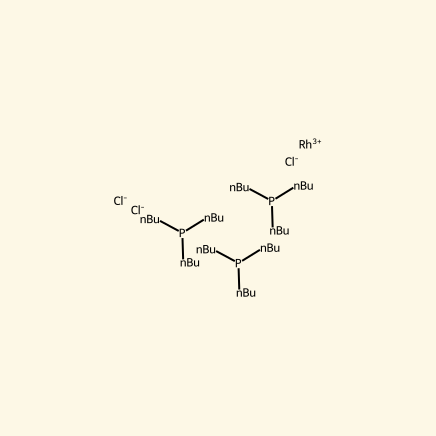 CCCCP(CCCC)CCCC.CCCCP(CCCC)CCCC.CCCCP(CCCC)CCCC.[Cl-].[Cl-].[Cl-].[Rh+3]